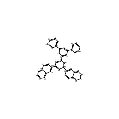 c1cncc(-c2cc(-c3cccnc3)cc(-c3nc(-c4ccc5ccccc5c4)cc(-c4ccc5ccccc5c4)n3)c2)c1